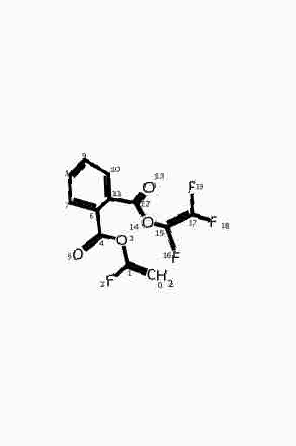 C=C(F)OC(=O)c1ccccc1C(=O)OC(F)=C(F)F